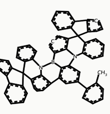 Cc1ccccc1-c1cc2c3c(c1)N1c4ccccc4C4(c5ccccc5-c5ccccc54)c4cccc(c41)B3N1c3ccccc3C3(c4ccccc4-c4ccccc43)c3cccc-2c31